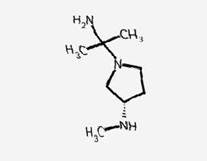 CN[C@H]1CCN(C(C)(C)N)C1